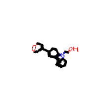 OCCn1c2c(c3ccccc31)CC(C1CCOCC1)CC2